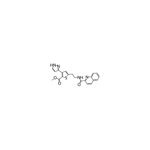 COC(=O)c1sc(CCNC(=O)c2ccc3ccccc3n2)cc1-c1cc[nH]n1